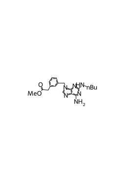 CCCCNc1nc(N)c2ncn(Cc3cccc(CC(=O)OC)c3)c2n1